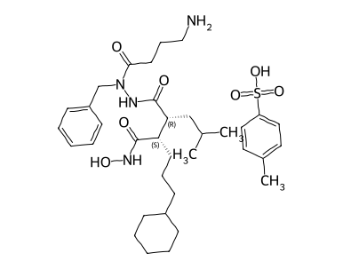 CC(C)C[C@@H](C(=O)NN(Cc1ccccc1)C(=O)CCCN)[C@H](CCCC1CCCCC1)C(=O)NO.Cc1ccc(S(=O)(=O)O)cc1